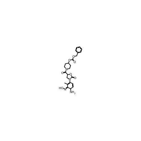 CC1=C(N2CC(C(=O)N3CCC(OC(=O)OCc4ccccc4)CC3)OC2=O)C=CC(N)C1=NO